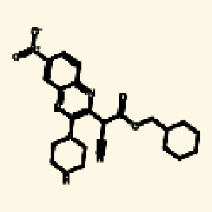 N#CC(C(=O)OCC1CCCCC1)c1nc2ccc([N+](=O)[O-])cc2nc1N1CCNCC1